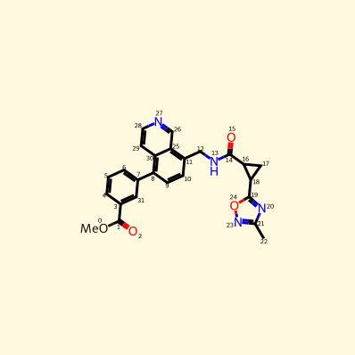 COC(=O)c1cccc(-c2ccc(CNC(=O)C3CC3c3nc(C)no3)c3cnccc23)c1